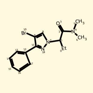 CCC(C(=O)N(C)C)n1cc(Br)c(-c2ccccc2)n1